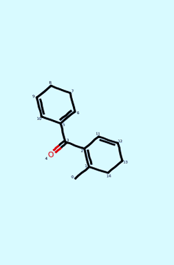 CC1=C(C(=O)C2=CCCC=C2)C=CCC1